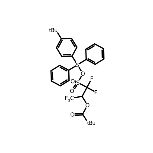 CC(C)(C)C(=O)OC(C(F)(F)F)C(F)(F)S(=O)(=O)OS(c1ccccc1)(c1ccccc1)c1ccc(C(C)(C)C)cc1